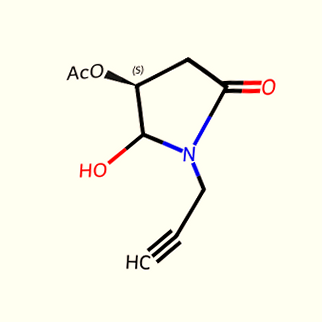 C#CCN1C(=O)C[C@H](OC(C)=O)C1O